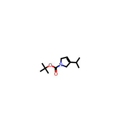 CC(C)C1=CCN(C(=O)OC(C)(C)C)C1